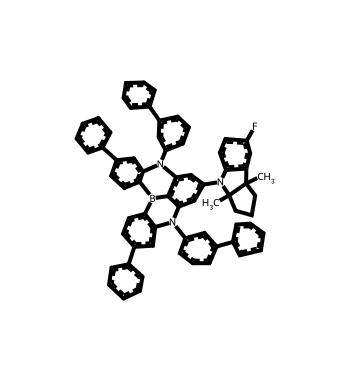 CC12CCCC1(C)N(c1cc3c4c(c1)N(c1cccc(-c5ccccc5)c1)c1cc(-c5ccccc5)ccc1B4c1ccc(-c4ccccc4)cc1N3c1cccc(-c3ccccc3)c1)c1ccc(F)cc12